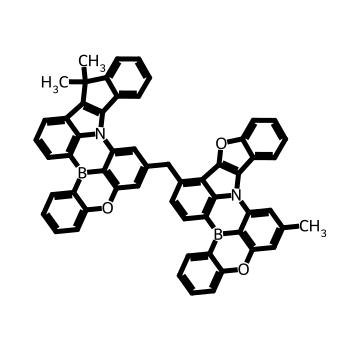 Cc1cc2c3c(c1)-n1c4c(ccc(Cc5cc6c7c(c5)-n5c8c(c9cccc(c95)B7c5ccccc5O6)C(C)(C)c5ccccc5-8)c4c4oc5ccccc5c41)B3c1ccccc1O2